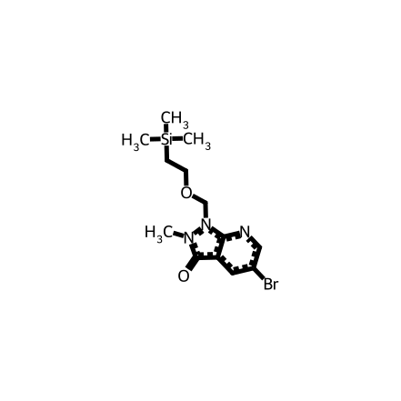 Cn1c(=O)c2cc(Br)cnc2n1COCC[Si](C)(C)C